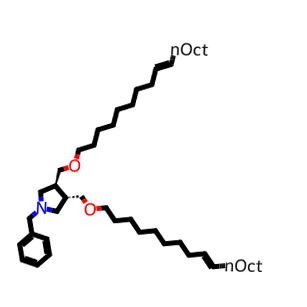 CCCCCCCCC=CCCCCCCCCOC[C@@H]1CN(Cc2ccccc2)C[C@H]1COCCCCCCCCC=CCCCCCCCC